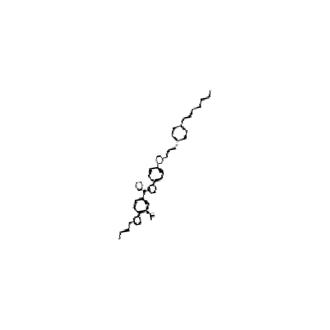 CCCCCCC[C@H]1CC[C@H](CCCOc2ccc(OC(=O)c3ccc(OCCCC)c(F)c3)cc2)CC1